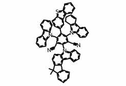 CC1(C)c2ccccc2-c2c1ccc1c2c2ccccc2n1-c1c(C#N)c(-n2c3c(c4ccccc42)C=CCC3)c(-c2ccc3sc4ccccc4c3c2)c(-n2c3ccccc3c3ccccc32)c1C#N